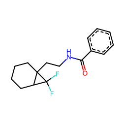 O=C(NCCC12CCCCC1C2(F)F)c1ccccc1